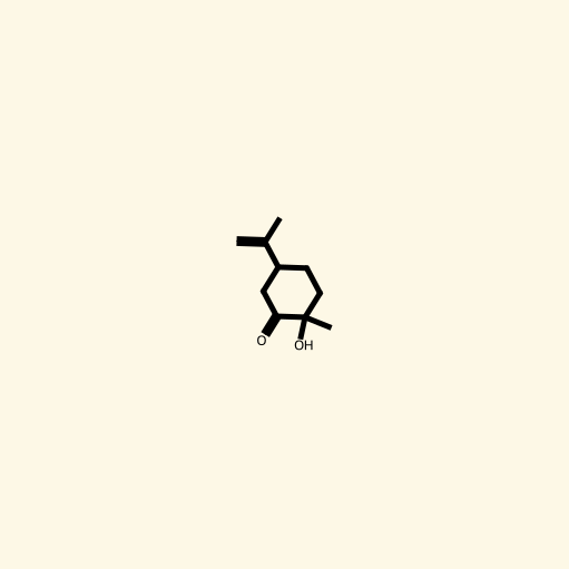 C=C(C)C1CCC(C)(O)C(=O)C1